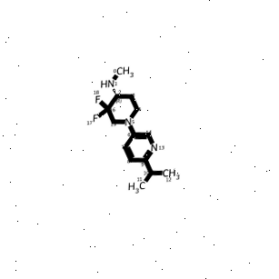 CN[C@@H]1CCN(c2ccc(C(C)C)nc2)CC1(F)F